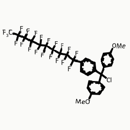 COc1ccc(C(Cl)(c2ccc(OC)cc2)c2ccc(C(F)(F)C(F)(F)C(F)(F)C(F)(F)C(F)(F)C(F)(F)C(F)(F)C(F)(F)C(F)(F)C(F)(F)F)cc2)cc1